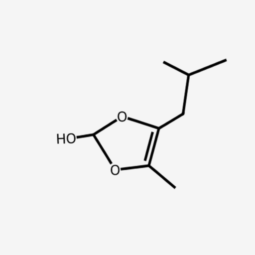 CC1=C(CC(C)C)OC(O)O1